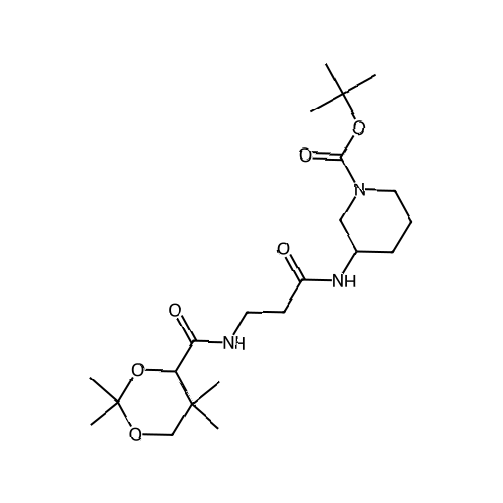 CC(C)(C)OC(=O)N1CCCC(NC(=O)CCNC(=O)C2OC(C)(C)OCC2(C)C)C1